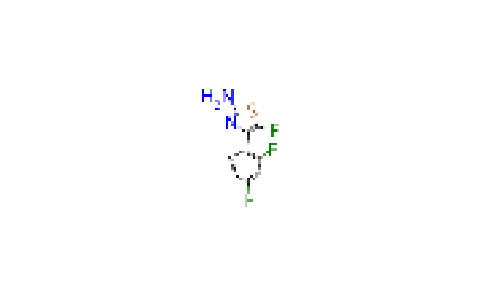 Nc1nc(-c2ccc(F)cc2F)c(F)s1